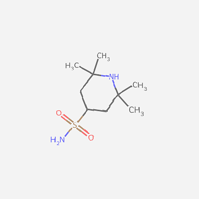 CC1(C)CC(S(N)(=O)=O)CC(C)(C)N1